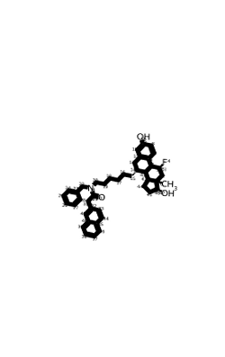 C[C@]12C[C@H](F)C3c4ccc(O)cc4C[C@@H](CCCCCCN(Cc4ccccc4)C(=O)Cc4ccc5ccccc5c4)C3C1CC[C@@H]2O